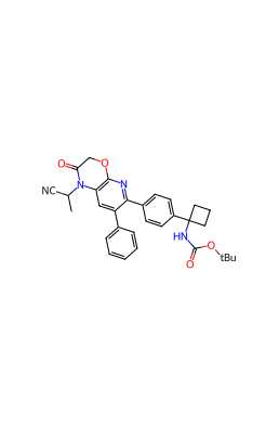 CC(C#N)N1C(=O)COc2nc(-c3ccc(C4(NC(=O)OC(C)(C)C)CCC4)cc3)c(-c3ccccc3)cc21